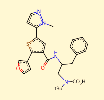 Cn1nccc1-c1cc(C(=O)NC(Cc2ccccc2)CN(C(=O)O)C(C)(C)C)c(-c2ccoc2)s1